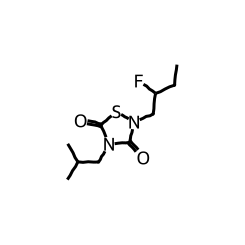 CCC(F)Cn1sc(=O)n(CC(C)C)c1=O